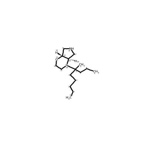 CCCCCC(C)(CCC)N1CCO[C@@H]2CNC[C@H]21